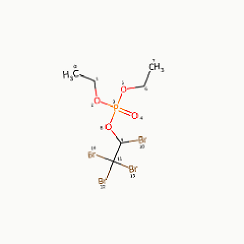 CCOP(=O)(OCC)OC(Br)C(Br)(Br)Br